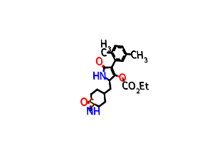 CCOC(=O)OC1=C(c2cc(C)ccc2C)C(=O)NC1CC1CCS(=N)(=O)CC1